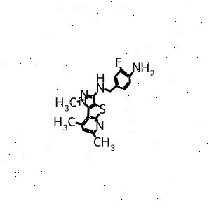 Cc1cc(C)c2c(n1)sc1c(NCc3ccc(N)c(F)c3)nn(C)c12